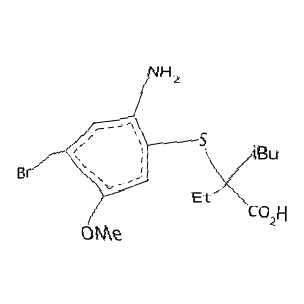 CCC(C)C(CC)(Sc1cc(OC)c(Br)cc1N)C(=O)O